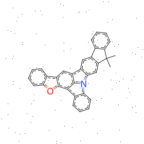 CC1(C)c2ccccc2-c2cc3c4cc5c6ccccc6oc5c5c6ccccc6n(c3cc21)c45